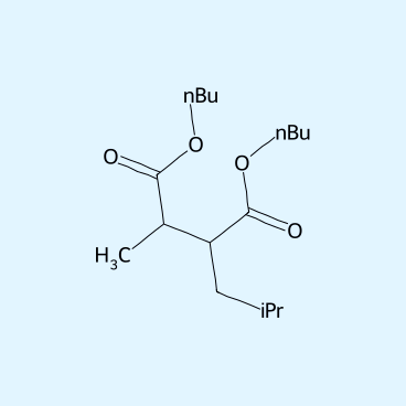 CCCCOC(=O)C(C)C(CC(C)C)C(=O)OCCCC